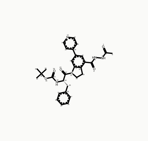 CC(=O)NNC(=O)c1cc(-c2ccncc2)cc2c1CCN2C(=O)[C@H](Cc1ccccc1)NC(=O)OC(C)(C)C